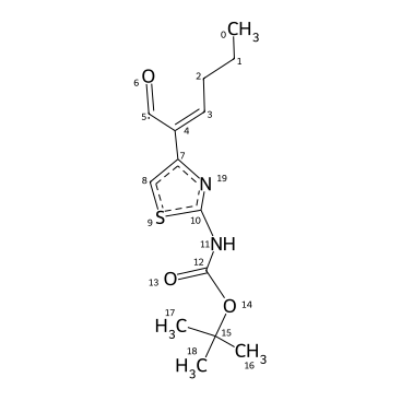 CCC/C=C(\[C]=O)c1csc(NC(=O)OC(C)(C)C)n1